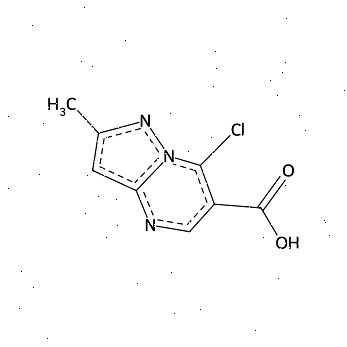 Cc1cc2ncc(C(=O)O)c(Cl)n2n1